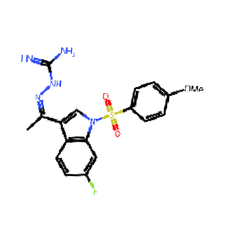 COc1ccc(S(=O)(=O)n2cc(/C(C)=N\NC(=N)N)c3ccc(F)cc32)cc1